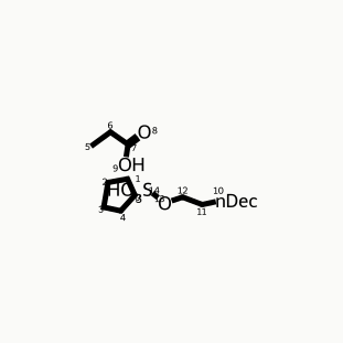 C1CCCC1.CCC(=O)O.CCCCCCCCCCCCOS(=O)(=O)O